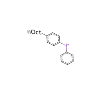 CCCCCCCCc1ccc([I+]c2ccccc2)cc1